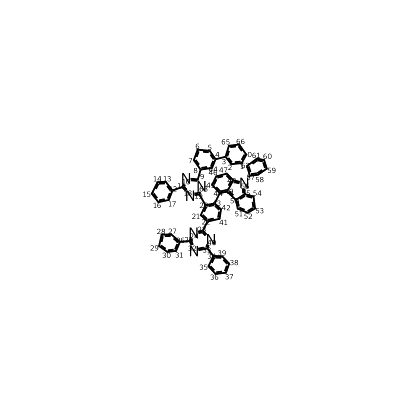 c1ccc(-c2cccc(-c3nc(-c4ccccc4)nc(-c4cc(-c5nc(-c6ccccc6)nc(-c6ccccc6)n5)ccc4-c4cccc5c4c4ccccc4n5-c4ccccc4)n3)c2)cc1